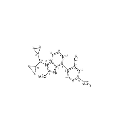 COc1nc2c(-c3ccc(C(F)(F)F)cc3Cl)nccc2n1C(C1CC1)C1CC1